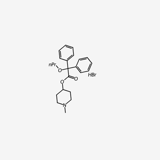 Br.CCCOC(C(=O)OC1CCN(C)CC1)(c1ccccc1)c1ccccc1